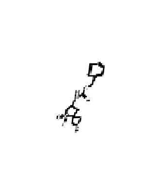 O=C(NC1CC2(CNC2)S(=O)(=O)C1)OCc1ccccc1